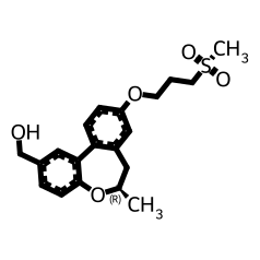 C[C@@H]1Cc2cc(OCCCS(C)(=O)=O)ccc2-c2cc(CO)ccc2O1